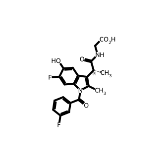 Cc1c([C@@H](C)C(=O)NCC(=O)O)c2cc(O)c(F)cc2n1C(=O)c1cccc(F)c1